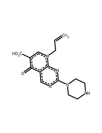 C=CCn1cc(C(=O)O)c(=O)c2cnc(N3CCNCC3)nc21